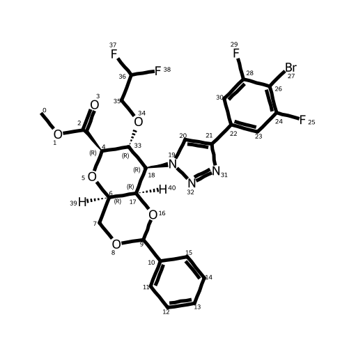 COC(=O)[C@@H]1O[C@@H]2COC(c3ccccc3)O[C@@H]2[C@H](n2cc(-c3cc(F)c(Br)c(F)c3)nn2)[C@H]1OCC(F)F